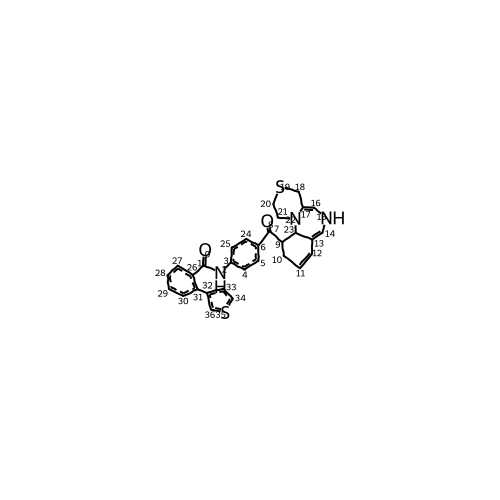 O=C(Nc1ccc(C(=O)C2CC=CC3=CNC=C4CSCCN4C32)cc1)c1ccccc1-c1ccsc1